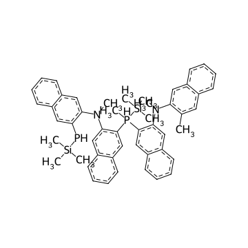 Cc1cc2ccccc2cc1N(C)c1cc2ccccc2cc1[PH](C)(c1cc2ccccc2cc1N(C)c1cc2ccccc2cc1P[Si](C)(C)C)[Si](C)(C)C